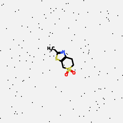 Cc1nc2c(s1)CS(=O)(=O)CC2